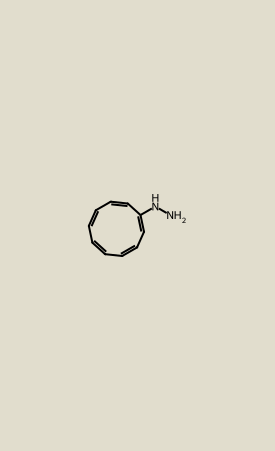 NNc1ccccccccc1